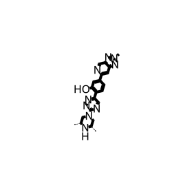 C[C@@H]1CN(c2ncc(-c3ccc(-c4cc5nn(C)nc5cn4)cc3O)nn2)C[C@H](C)N1